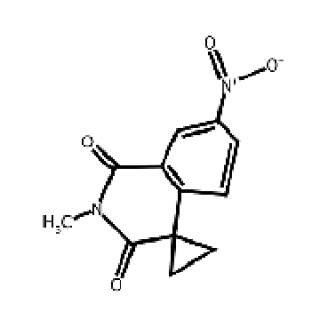 CN1C(=O)c2cc([N+](=O)[O-])ccc2C2(CC2)C1=O